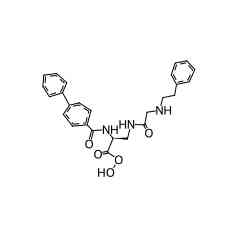 O=C(CNCCc1ccccc1)NC[C@H](NC(=O)c1ccc(-c2ccccc2)cc1)C(=O)OO